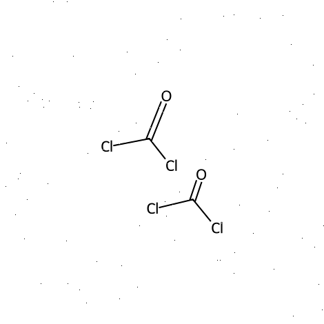 O=C(Cl)Cl.O=C(Cl)Cl